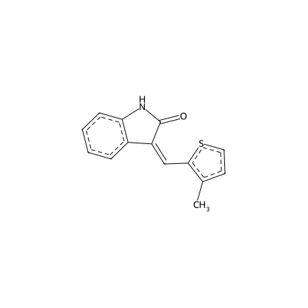 Cc1ccsc1C=C1C(=O)Nc2ccccc21